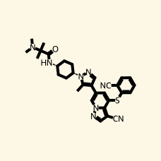 Cc1c(-c2cc(Sc3ccccc3C#N)c3c(C#N)cnn3c2)cnn1[C@H]1CC[C@@H](NC(=O)C(C)(C)N(C)C)CC1